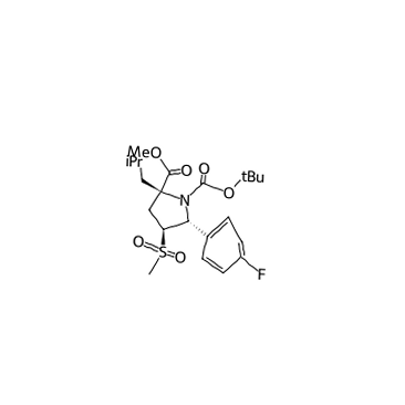 COC(=O)[C@@]1(CC(C)C)C[C@H](S(C)(=O)=O)[C@@H](c2ccc(F)cc2)N1C(=O)OC(C)(C)C